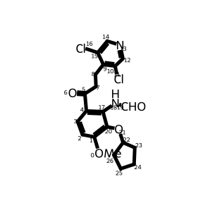 COc1ccc(C(=O)CCc2c(Cl)cncc2Cl)c(NC=O)c1OC1CCCC1